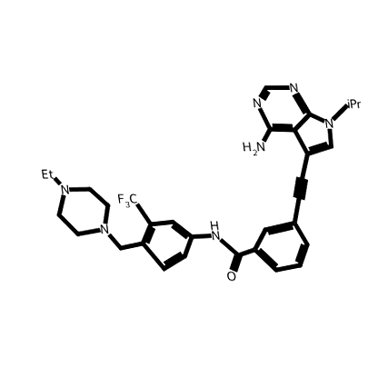 CCN1CCN(Cc2ccc(NC(=O)c3cccc(C#Cc4cn(C(C)C)c5ncnc(N)c45)c3)cc2C(F)(F)F)CC1